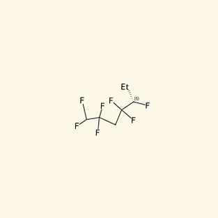 [CH2]C[C@H](F)C(F)(F)CC(F)(F)C(F)F